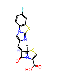 O=C(O)C1=CS[C@@H]2/C(=C\c3cn4c(n3)sc3cc(F)ccc34)C(=O)N12